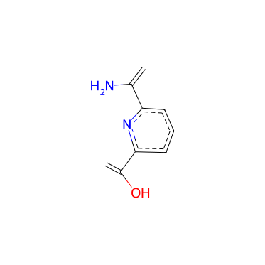 C=C(N)c1cccc(C(=C)O)n1